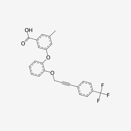 Cc1cc(Oc2ccccc2OCC#Cc2ccc(C(F)(F)F)cc2)cc(C(=O)O)c1